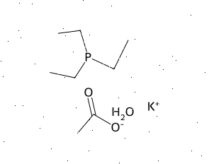 CC(=O)[O-].CCP(CC)CC.O.[K+]